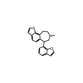 CN1CCc2c(ccc3ccsc23)C(c2cccc3ccoc23)C1